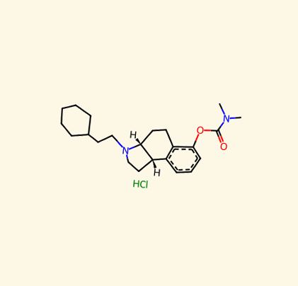 CN(C)C(=O)Oc1cccc2c1CC[C@@H]1[C@H]2CCN1CCC1CCCCC1.Cl